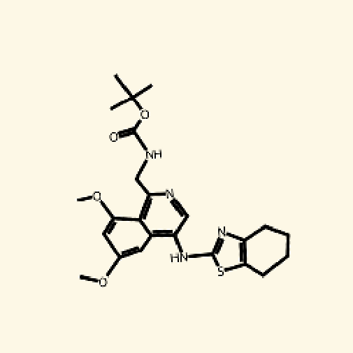 COc1cc(OC)c2c(CNC(=O)OC(C)(C)C)ncc(Nc3nc4c(s3)CCCC4)c2c1